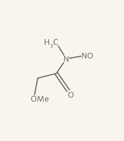 COCC(=O)N(C)N=O